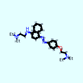 CCN(CC)CCNc1ccc(N=Nc2ccc(OCCN(CC)CC)cc2)c2ccccc12